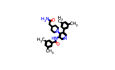 Cc1cc(C)cc(C(=O)Nc2cncc(-c3cc(C)cc(C)c3)c2N2CCC(CC(N)=O)CC2)c1